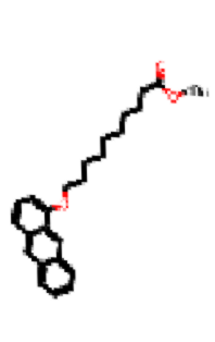 CC(C)(C)OC(=O)CCCCCCCCCOc1cccc2cc3ccccc3cc12